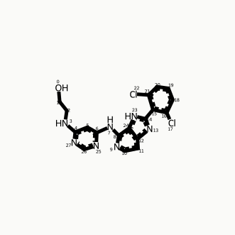 OCCNc1cc(Nc2nccc3nc(-c4c(Cl)cccc4Cl)[nH]c23)ncn1